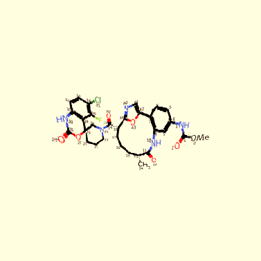 COC(=O)Nc1ccc2c(c1)NC(=O)[C@H](C)CCC[C@H](C(=O)N1CCC[C@@]3(C1)OC(=O)Nc1ccc(Cl)c(F)c13)c1ncc-2o1